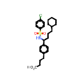 O=C(O)CCCc1ccc(C(CCCC2CCCCC2)NS(=O)(=O)c2ccc(Cl)cc2)cc1